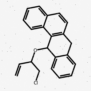 C=CC(CCl)OC1c2ccccc2Cc2ccc3ccccc3c21